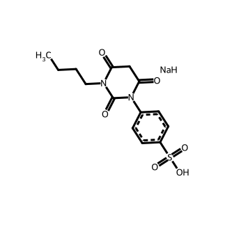 CCCCN1C(=O)CC(=O)N(c2ccc(S(=O)(=O)O)cc2)C1=O.[NaH]